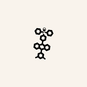 Cc1cc(C)cc(-c2c3ccccc3c(-c3ccc(P(=O)(c4ccccc4)c4ccccc4)cc3)c3ccccc23)c1